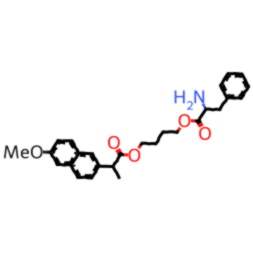 COc1ccc2cc(C(C)C(=O)OCCCCOC(=O)[C@@H](N)Cc3ccccc3)ccc2c1